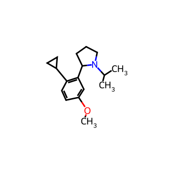 COc1ccc(C2CC2)c(C2CCCN2C(C)C)c1